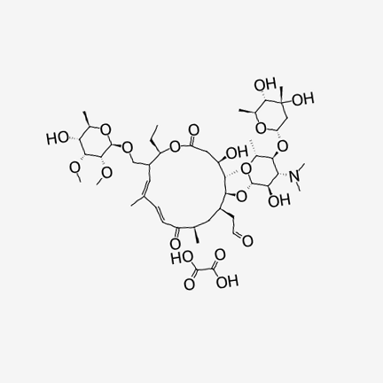 CC[C@H]1OC(=O)C[C@@H](O)[C@H](C)[C@@H](O[C@@H]2O[C@H](C)[C@@H](O[C@H]3C[C@@](C)(O)[C@@H](O)[C@H](C)O3)[C@H](N(C)C)[C@H]2O)[C@@H](CC=O)C[C@@H](C)C(=O)/C=C/C(C)=C/C1CO[C@@H]1O[C@H](C)[C@@H](O)[C@@H](OC)[C@H]1OC.O=C(O)C(=O)O